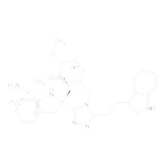 COc1ccc(Cn2c(CCc3c[nH]c4ccccc34)nnc2[C@](CC(=O)O)(Cc2ccccc2)NC(=O)C(C)(C)N)cc1